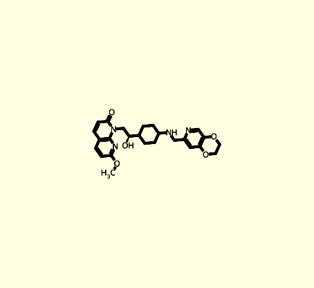 COc1ccc2ccc(=O)n(C[C@H](O)C3CCC(NCc4cc5c(cn4)OCCO5)CC3)c2n1